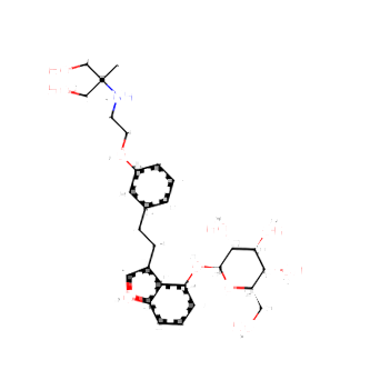 CC(CO)(CO)NCCOc1cccc(CCc2coc3cccc(O[C@@H]4O[C@H](CO)[C@@H](O)[C@H](O)[C@H]4O)c23)c1